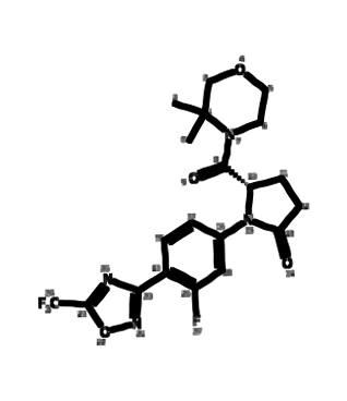 CC1(C)COCCN1C(=O)[C@@H]1CCC(=O)N1c1ccc(-c2noc(C(F)(F)F)n2)c(F)c1